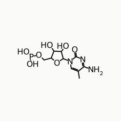 Cc1cn(C2OC(COP(O)O)C(O)C2O)c(=O)nc1N